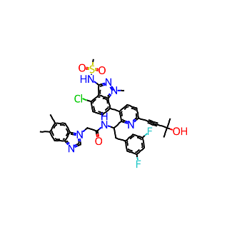 Cc1cc2ncn(CC(=O)NC(Cc3cc(F)cc(F)c3)c3nc(C#CC(C)(C)O)ccc3-c3ccc(Cl)c4c(NS(C)(=O)=O)nn(C)c34)c2cc1C